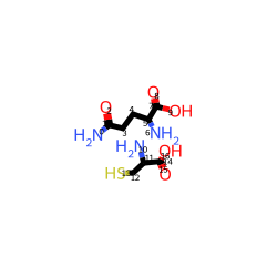 NC(=O)CCC(N)C(=O)O.NC(CS)C(=O)O